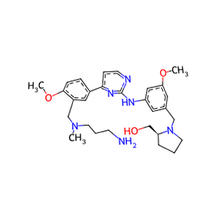 COc1cc(CN2CCC[C@H]2CO)cc(Nc2nccc(-c3ccc(OC)c(CN(C)CCCN)c3)n2)c1